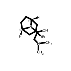 CN(C)CC(O)N1[C@@H]2CC[C@H]1CC(C(C)(C)C)C2